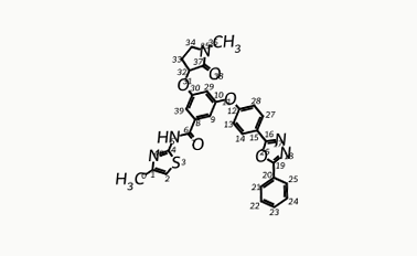 Cc1csc(NC(=O)c2cc(Oc3ccc(-c4nnc(-c5ccccc5)o4)cc3)cc(OC3CCN(C)C3=O)c2)n1